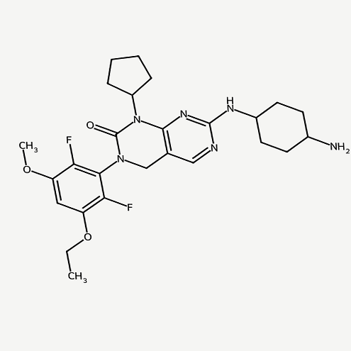 CCOc1cc(OC)c(F)c(N2Cc3cnc(NC4CCC(N)CC4)nc3N(C3CCCC3)C2=O)c1F